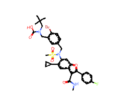 CNC(=O)c1c(-c2ccc(F)cc2)oc2cc(N(Cc3ccc(Br)c(CN(CC(C)(C)C)C(=O)O)c3)S(C)(=O)=O)c(C3CC3)cc12